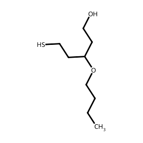 CCCCOC(CCO)CCS